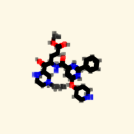 CCOC(=O)N1CCNC(C(=O)C(CCC(=O)OC(C)(C)C)NC(=O)c2cc(OC3CCNCC3)nc(-c3ccccc3)n2)C1